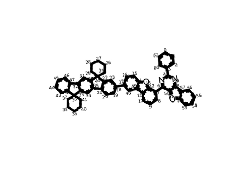 c1ccc(-c2nc(-c3cccc4c3oc3ccc(-c5ccc6c(c5)C5(CCCCC5)c5cc7c(cc5-6)C5(CCCCC5)c5ccccc5-7)cc34)c3oc4ccccc4c3n2)cc1